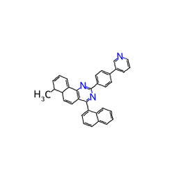 CC1C=CC=C2c3nc(-c4ccc(-c5cccnc5)cc4)nc(-c4cccc5ccccc45)c3C=CC21